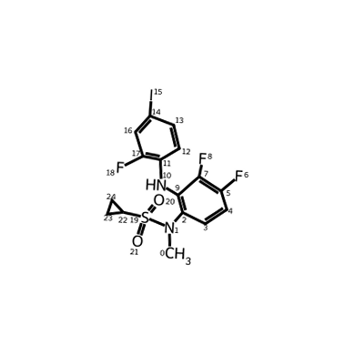 CN(c1ccc(F)c(F)c1Nc1ccc(I)cc1F)S(=O)(=O)C1CC1